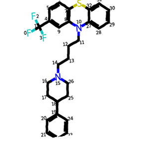 FC(F)(F)c1ccc2c(c1)N(CCCCN1CCC(c3ccccc3)CC1)c1ccccc1S2